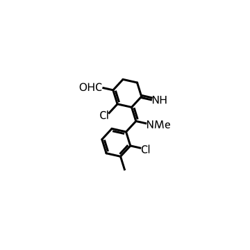 CN/C(=C1\C(=N)CCC(C=O)=C1Cl)c1cccc(C)c1Cl